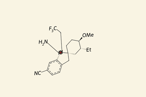 CC[C@@H]1C[C@]2(CC[C@H]1OC)Cc1ccc(C#N)cc1[C@]21N=C(N)C(CC(F)(F)F)=N1